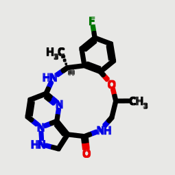 CC1CNC(=O)C2=C3N=C(C=CN3NC2)N[C@H](C)c2cc(F)ccc2O1